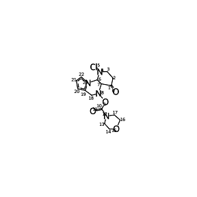 O=C1CCN(Cl)C2C1N(OC(=O)N1CCOCC1)Cc1cccn12